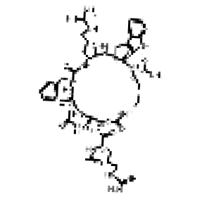 CC(=O)N[C@@H](CCCNC(=N)N)C(=O)N[C@H]1CC(=O)NCCCC[C@@H](C(N)=O)NC(=O)[C@H](Cc2c[nH]c3ccccc23)NC(O)[C@H](CCCNC(=N)N)NC(=O)[C@@H](Cc2ccccc2)NC(=O)[C@@H](CC(=O)O)NC1=O